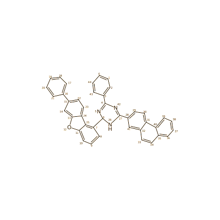 c1ccc(C2=NC(c3cccc4oc5cc(-c6ccccc6)ccc5c34)NC(c3ccc4c(ccc5ccccc54)c3)=N2)cc1